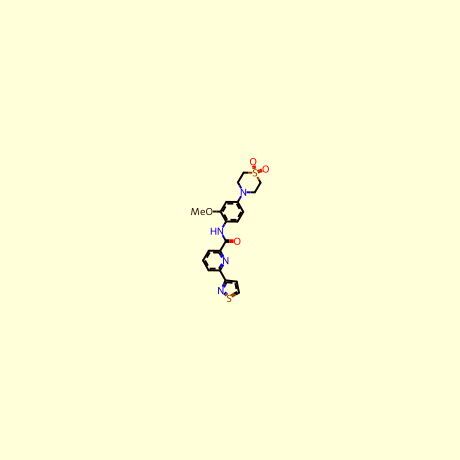 COc1cc(N2CCS(=O)(=O)CC2)ccc1NC(=O)c1cccc(-c2ccsn2)n1